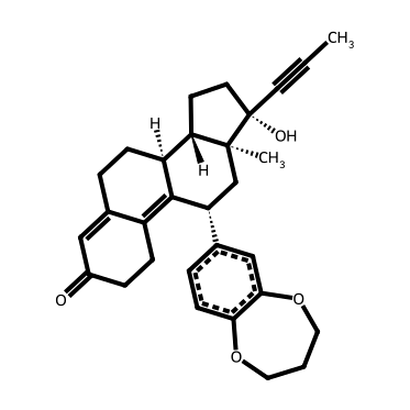 CC#C[C@]1(O)CC[C@H]2[C@@H]3CCC4=CC(=O)CCC4=C3[C@@H](c3ccc4c(c3)OCCCO4)C[C@@]21C